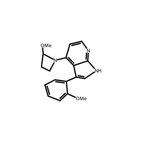 COc1ccccc1-c1c[nH]c2nccc(N3CCC3OC)c12